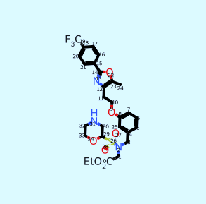 CCOC(=O)CN(Cc1cccc(OCCc2nc(-c3ccc(C(F)(F)F)cc3)oc2C)c1)S(=O)(=O)C1CNCCO1